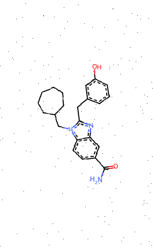 NC(=O)c1ccc2c(c1)nc(Cc1cccc(O)c1)n2CC1CCCCCC1